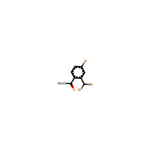 COC(=O)c1ccc(Br)cc1C(Br)Br